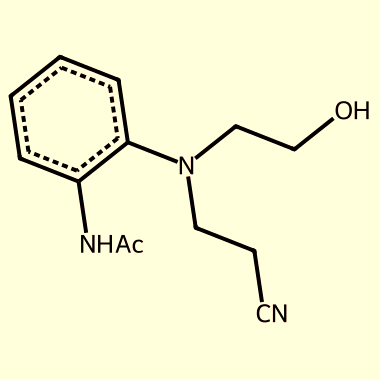 CC(=O)Nc1ccccc1N(CCO)CCC#N